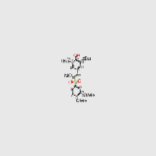 COc1ccc(S(=O)(=O)C(C#N)=Cc2cc(C(C)(C)C)c(O)c(C(C)(C)C)c2)cc1OC